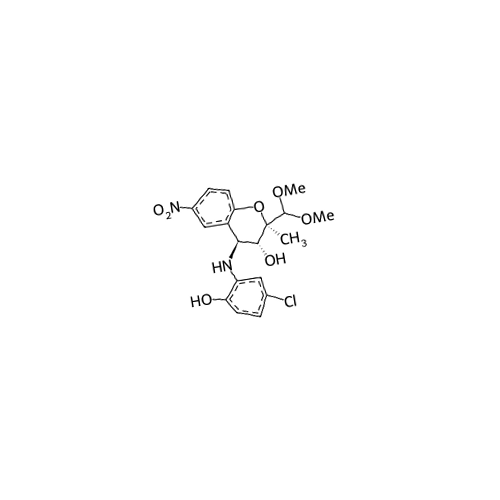 COC(OC)[C@]1(C)Oc2ccc([N+](=O)[O-])cc2[C@H](Nc2cc(Cl)ccc2O)[C@H]1O